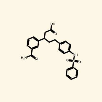 N=C(N)c1cccc(C(CCc2ccc(NS(=O)(=O)c3ccccc3)cc2)CC(=O)O)c1